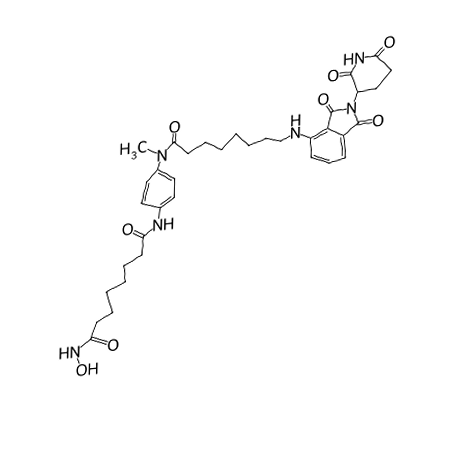 CN(C(=O)CCCCCCCNc1cccc2c1C(=O)N(C1CCC(=O)NC1=O)C2=O)c1ccc(NC(=O)CCCCCCC(=O)NO)cc1